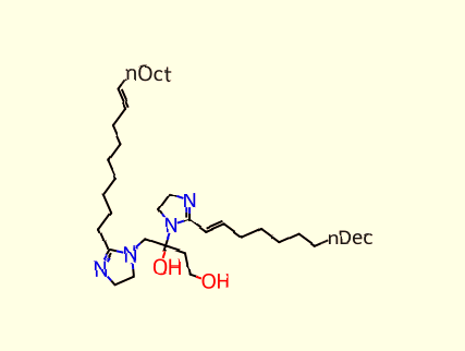 CCCCCCCCC=CCCCCCCCC1=NCCN1CC(O)(CCO)N1CCN=C1C=CCCCCCCCCCCCCCCC